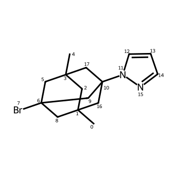 CC12CC3(C)CC(Br)(C1)CC(n1cccn1)(C2)C3